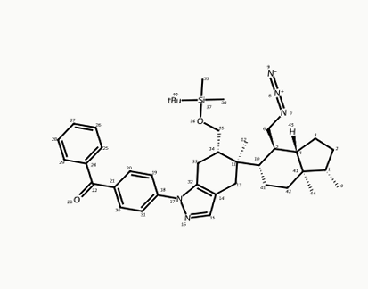 C[C@H]1CC[C@H]2[C@H](CN=[N+]=[N-])[C@@H]([C@@]3(C)Cc4cnn(-c5ccc(C(=O)c6ccccc6)cc5)c4C[C@@H]3CO[Si](C)(C)C(C)(C)C)CC[C@]12C